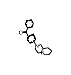 O=C(c1ccccc1)c1ccc(N2CCN3CCCCC3C2)cc1